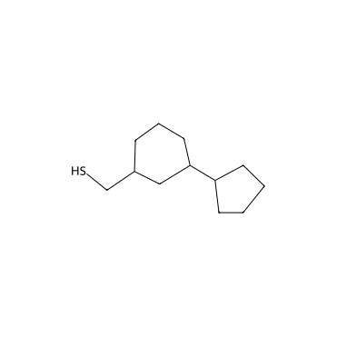 SCC1CCCC(C2CCCC2)C1